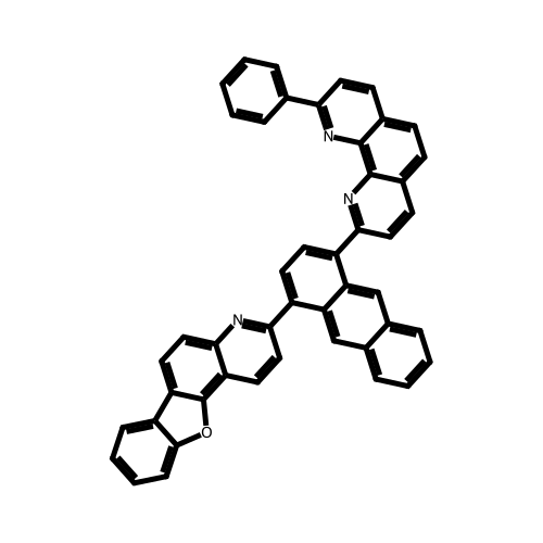 c1ccc(-c2ccc3ccc4ccc(-c5ccc(-c6ccc7c(ccc8c9ccccc9oc78)n6)c6cc7ccccc7cc56)nc4c3n2)cc1